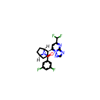 O=C(c1cc(F)cc(F)c1)N1[C@H]2CC[C@H](c3cc(C(F)F)nc4ncnn34)[C@@H]1CC2